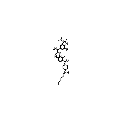 C=N/C(=C(F)\C=N/c1ccc(C(=O)N2CCC(NCCCCCC)CC2)c(C)n1)c1cc(F)c2nc(C)n(C(C)C)c2c1